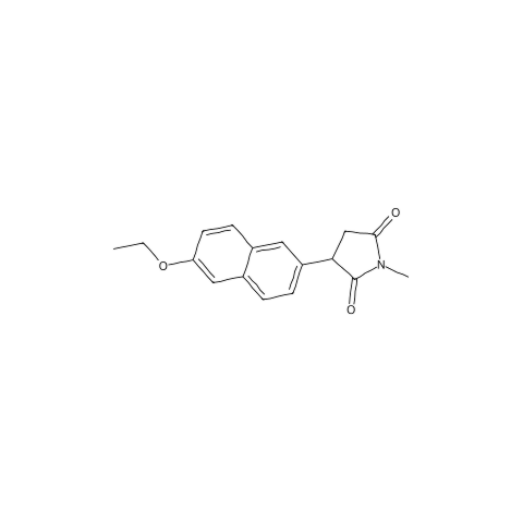 CCOc1ccc2cc(C3CC(=O)N(C)C3=O)ccc2c1